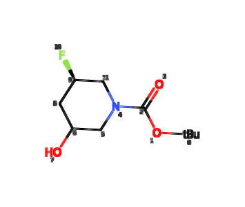 CC(C)(C)OC(=O)N1CC(O)C[C@@H](F)C1